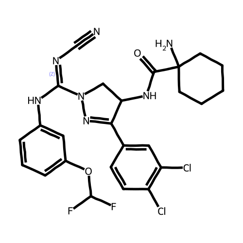 N#C/N=C(/Nc1cccc(OC(F)F)c1)N1CC(NC(=O)C2(N)CCCCC2)C(c2ccc(Cl)c(Cl)c2)=N1